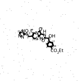 CCOC(=O)c1ccc(C(O)C(=O)NC2C(=O)N3C(C(=O)O)=C(CSc4nncs4)CS[C@H]23)cc1